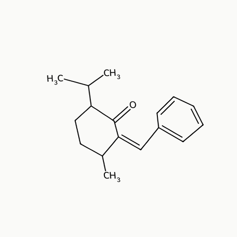 CC1CCC(C(C)C)C(=O)C1=Cc1ccccc1